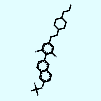 CCCC1CCC(CCc2cc(F)c(-c3ccc4cc(OC(F)(F)F)ccc4c3)c(F)c2)CC1